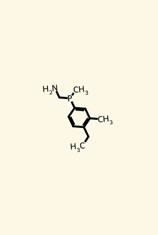 CCc1ccc(P(C)CN)cc1C